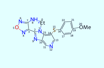 CCn1c(-c2nonc2N)nc2cncc(Sc3ccc(OC)cc3)c21